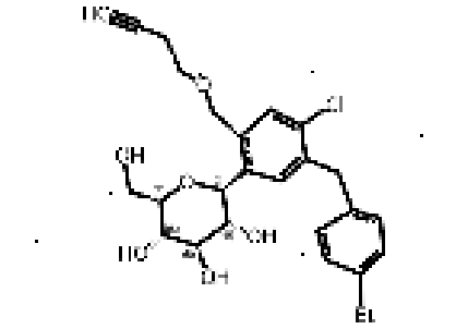 C#CCCOCc1cc(Cl)c(Cc2ccc(CC)cc2)cc1[C@@H]1O[C@H](CO)[C@@H](O)[C@H](O)[C@H]1O